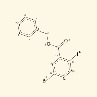 O=C(OCc1ccccc1)c1cc(Br)ccc1I